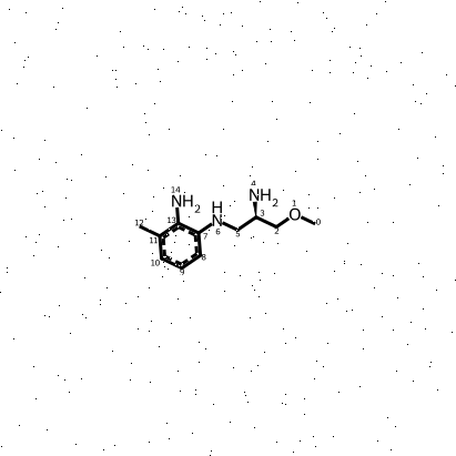 COC[C@H](N)CNc1cccc(C)c1N